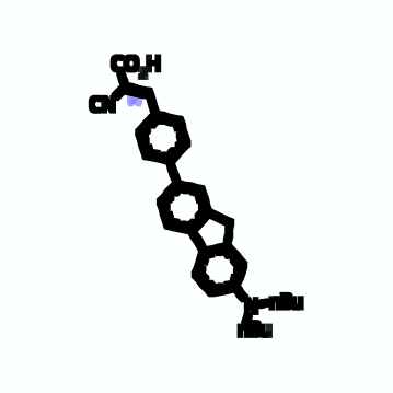 [C-]#[N+]/C(=C\c1ccc(-c2ccc3c(c2)Cc2cc(N(CCCC)CCCC)ccc2-3)cc1)C(=O)O